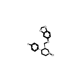 CCN1CC[C@H](c2ccc(F)cc2)[C@@H](COc2ccc3c(c2)OCO3)C1